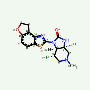 CN1C[C@@H]2NC(=O)N(c3nc4c5c(ccc4s3)OCC5)[C@@H]2[C@@H](F)C1